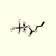 C=CCOC(=O)OS(=O)(=O)C(F)(F)F.[LiH]